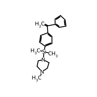 C=C(c1ccccc1)c1ccc([Si](C)(C)N2CCN(C)CC2)cc1